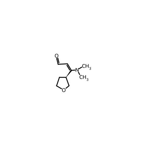 CN(C)/C(=C/C=O)[C@@H]1CCOC1